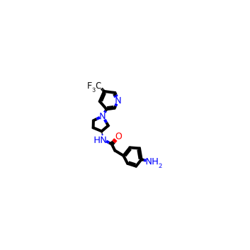 Nc1ccc(CC(=O)N[C@@H]2CCN(c3cncc(C(F)(F)F)c3)C2)cc1